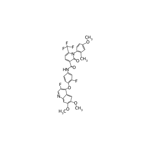 COc1ccc(-n2c(C(F)(F)F)ccc(C(=O)Nc3ccc(Oc4c(F)cnc5cc(OC)c(OC)cc45)c(F)c3)c2=O)c(C)c1